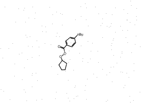 CCCCc1ccc(C(=O)OO[C]2CCCC2)cc1